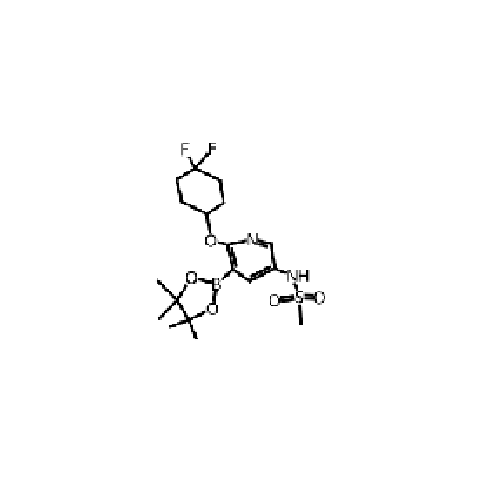 CC1(C)OB(c2cc(NS(C)(=O)=O)cnc2OC2CCC(F)(F)CC2)OC1(C)C